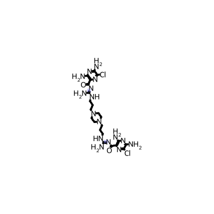 N/C(=N\C(=O)c1nc(Cl)c(N)nc1N)NCCCN1CCN(CCCN/C(N)=N/C(=O)c2nc(Cl)c(N)nc2N)CC1